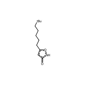 CC(C)(C)CCCCCc1cc(=O)[nH]o1